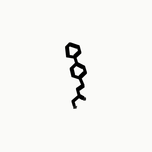 O=C(/C=C/c1ccc(-c2ccccc2)cc1)CBr